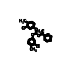 Cc1ccc(OB(Oc2ccc(C)c(Cl)c2)OC(C)c2ccccn2)cc1Cl